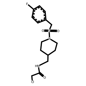 O=C(CCl)NCC1CCN(S(=O)(=O)Cc2ccc(F)cc2)CC1